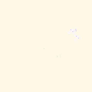 Clc1c(OCc2ccccc2)ccc2[nH]ncc12